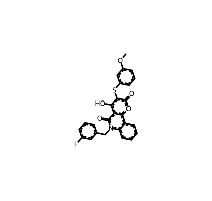 COc1cccc(Sc2c(O)c3c(=O)n(Cc4cccc(F)c4)c4ccccc4c3oc2=O)c1